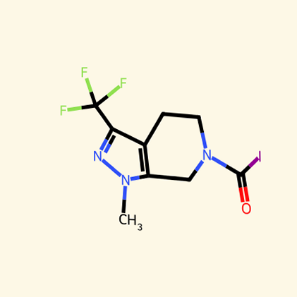 Cn1nc(C(F)(F)F)c2c1CN(C(=O)I)CC2